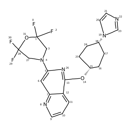 FC1(F)CN(c2cc3ncccc3c(O[C@H]3CC[C@@H](n4ccnc4)CC3)n2)CC(F)(F)O1